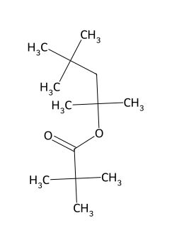 CC(C)(C)CC(C)(C)OC(=O)C(C)(C)C